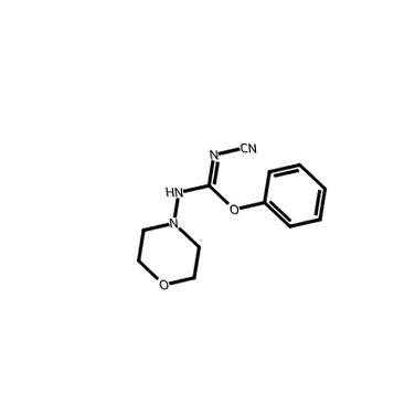 N#CN=C(NN1CCOCC1)Oc1ccccc1